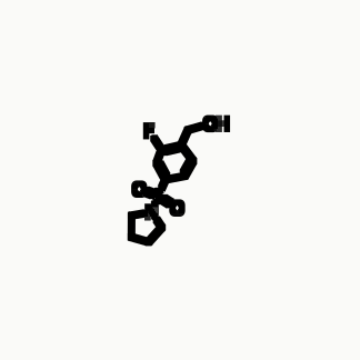 O=S(=O)(c1ccc(CO)c(F)c1)N1CCCC1